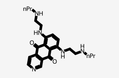 CCCNCCNc1ccc(NCCNCCC)c2c1C(=O)c1ccncc1C2=O